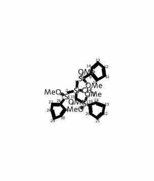 CO[Si](C[Si](C)(C[Si](OC)(OC)c1ccccc1)C[Si](OC)(OC)c1ccccc1)(OC)c1ccccc1